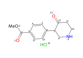 COC(=O)c1ccc(C2CNCCC2=O)cc1.Cl